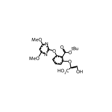 COc1cc(OC)nc(Oc2cccc(O/C(=C/O)C(=O)O)c2C(=O)OC(C)(C)C)n1